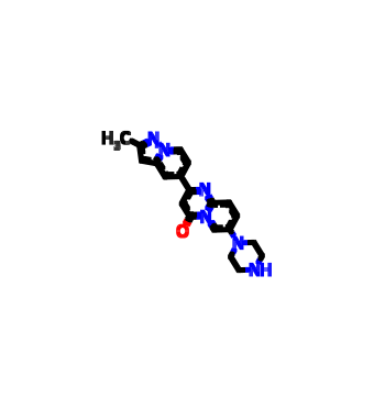 Cc1cc2cc(-c3cc(=O)n4cc(N5CCNCC5)ccc4n3)ccn2n1